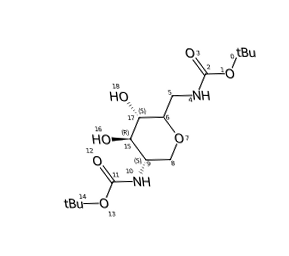 CC(C)(C)OC(=O)NCC1OC[C@H](NC(=O)OC(C)(C)C)[C@@H](O)[C@@H]1O